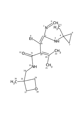 C=N/C(NC1(C)CC1)=C(\CC)C(C(=O)NCC1(C)COC1)=C(C)C